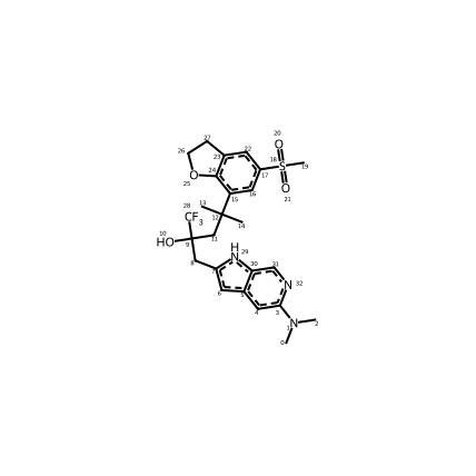 CN(C)c1cc2cc(CC(O)(CC(C)(C)c3cc(S(C)(=O)=O)cc4c3OCC4)C(F)(F)F)[nH]c2cn1